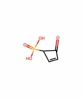 O=C1C=CC1P(=O)(O)O